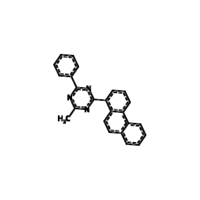 Cc1nc(-c2ccccc2)nc(-c2cccc3c2ccc2ccccc23)n1